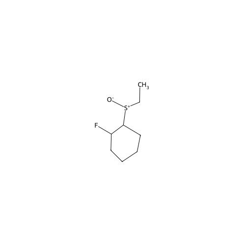 CC[S+]([O-])C1CCCCC1F